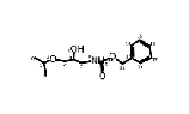 CC(C)OCC(O)CNC(=O)OCc1ccccc1